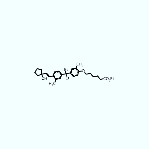 CCOC(=O)CCCCCOc1ccc(C(CC)(CC)c2ccc(C=CC3(O)CCCC3)c(C)c2)cc1C